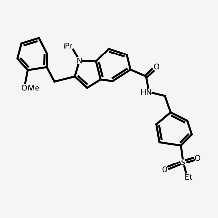 CCS(=O)(=O)c1ccc(CNC(=O)c2ccc3c(c2)cc(Cc2ccccc2OC)n3C(C)C)cc1